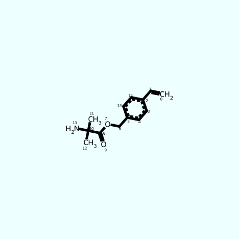 C=Cc1ccc(COC(=O)C(C)(C)N)cc1